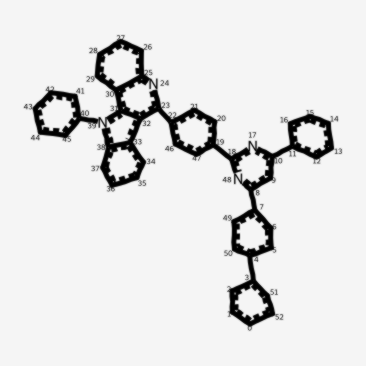 c1ccc(-c2ccc(-c3cc(-c4ccccc4)nc(-c4ccc(-c5nc6ccccc6c6c5c5ccccc5n6-c5ccccc5)cc4)n3)cc2)cc1